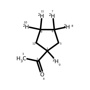 [2H]C1(C(C)=O)CC([2H])([2H])C([2H])([2H])C1